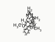 CCOC1=CC(C)(Cc2cnc(N)nc2N)C([N+](=O)[O-])C(OCC)=C1c1ccccc1